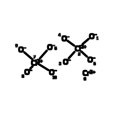 [Cr+2].[O-][Cl+3]([O-])([O-])[O-].[O-][Cl+3]([O-])([O-])[O-]